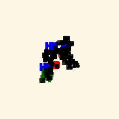 CNC(c1cccc(C(=O)NCC(F)(F)F)c1)[C@H](O[Si](C)(C)CC(C)C)N1CCCC1